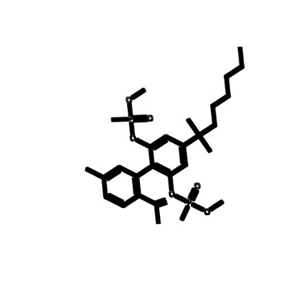 C=C(C)c1ccc(C)cc1-c1c(OP(C)(=O)OC)cc(C(C)(C)CCCCCC)cc1OP(C)(=O)OC